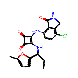 CCC(Nc1c(Nc2ccc(Cl)c3c2C(=O)NC3)c(=O)c1=O)c1ccc(C)o1